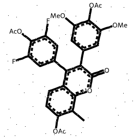 COc1cc(-c2c(-c3cc(F)c(OC(C)=O)c(F)c3)c3ccc(OC(C)=O)c(C)c3oc2=O)cc(OC)c1OC(C)=O